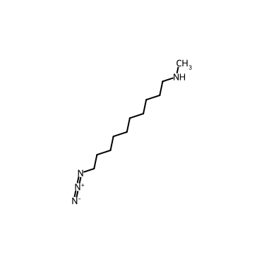 CNCCCCCCCCCCN=[N+]=[N-]